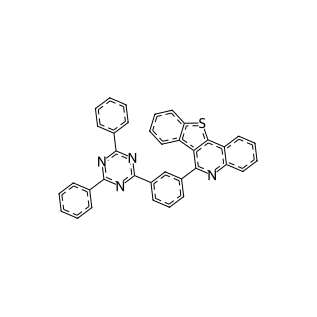 c1ccc(-c2nc(-c3ccccc3)nc(-c3cccc(-c4nc5ccccc5c5sc6ccccc6c45)c3)n2)cc1